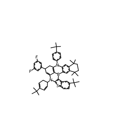 CC(C)(C)C1=CCC(N2C3=CC(c4cc(F)cc(F)c4)CC4=C3B(c3cc5c(cc3N4c3ccc(C(C)(C)C)cc3)C(C)(C)CCC5(C)C)c3c2sc2ccc(C(C)(C)C)cc32)C=C1